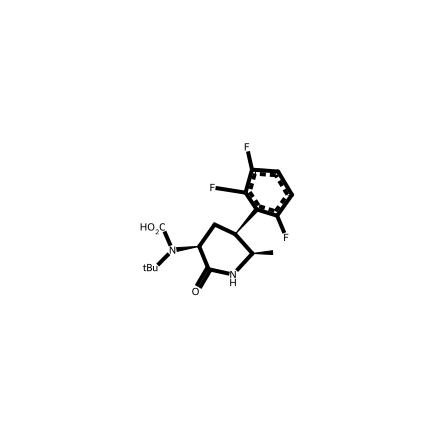 C[C@H]1NC(=O)[C@@H](N(C(=O)O)C(C)(C)C)C[C@H]1c1c(F)ccc(F)c1F